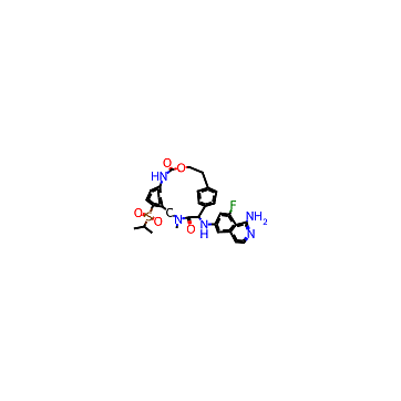 CC(C)S(=O)(=O)c1ccc2cc1CN(C)C(=O)C(Nc1cc(F)c3c(N)nccc3c1)c1ccc(cc1)CCOC(=O)N2